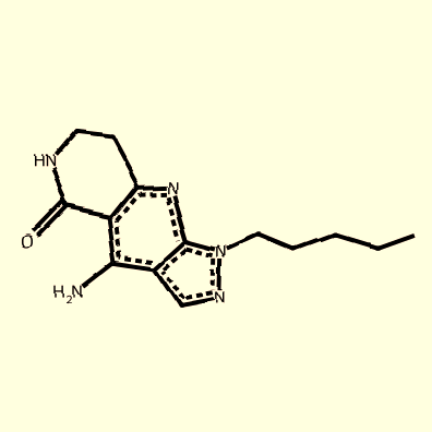 CCCCCn1ncc2c(N)c3c(nc21)CCNC3=O